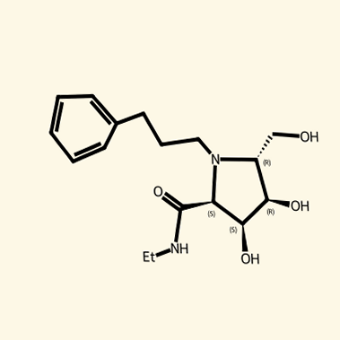 CCNC(=O)[C@@H]1[C@H](O)[C@H](O)[C@@H](CO)N1CCCc1ccccc1